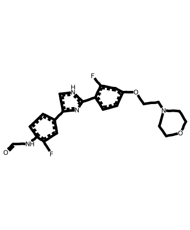 O=CNc1ccc(-c2c[nH]c(-c3ccc(OCCN4CCOCC4)cc3F)n2)cc1F